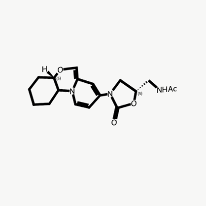 CC(=O)NC[C@H]1CN(C2=CC3=CO[C@H]4CCCCC4N3C=C2)C(=O)O1